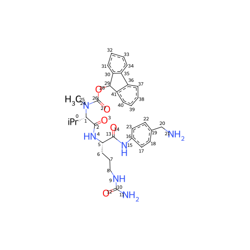 CC(C)[C@@H](C(=O)N[C@@H](CCCNC(N)=O)C(=O)Nc1ccc(CN)cc1)N(C)C(=O)OC1c2ccccc2-c2ccccc21